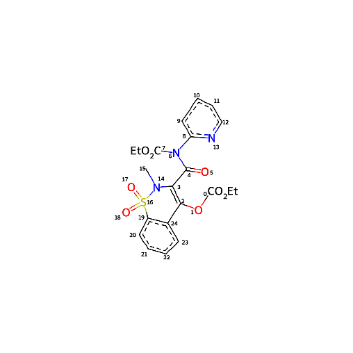 CCOC(=O)OC1=C(C(=O)N(C(=O)OCC)c2ccccn2)N(C)S(=O)(=O)c2ccccc21